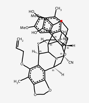 C=CCOc1c(C)c2c(c3c1[C@H]1SC[C@]4(NCCc5cc(O)c(OC)cc54)C(=O)OC[C@@H]3N3C1[C@H]1c4c(cc(C)c(OC)c4O)C[C@H]([C@@H]3C#N)N1C)OCO2